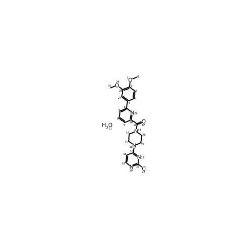 COc1ccc(-c2cccc(C(=O)N3CCN(c4ccnc(Cl)n4)CC3)n2)cc1OC.O